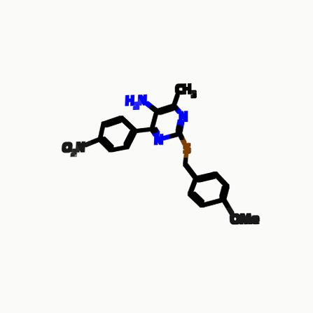 COc1ccc(CSc2nc(C)c(N)c(-c3ccc([N+](=O)[O-])cc3)n2)cc1